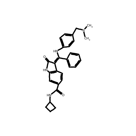 CN(C)Cc1ccc(N/C(=C2\C(=O)Nc3cc(C(=O)NC4CCC4)ccc32)c2ccccc2)cc1